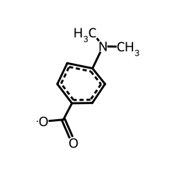 CN(C)c1ccc(C([O])=O)cc1